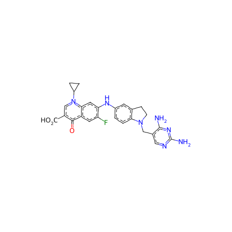 Nc1ncc(CN2CCc3cc(Nc4cc5c(cc4F)c(=O)c(C(=O)O)cn5C4CC4)ccc32)c(N)n1